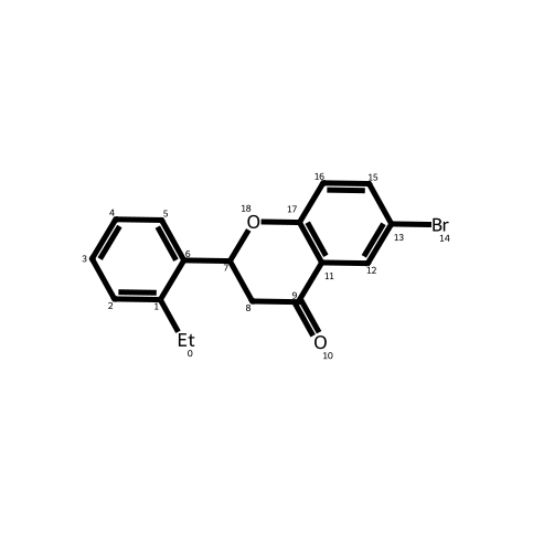 CCc1ccccc1C1CC(=O)c2cc(Br)ccc2O1